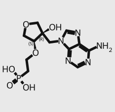 Nc1ncnc2c1ncn2C[C@@]1(O)COC[C@@H]1OCCP(=O)(O)O